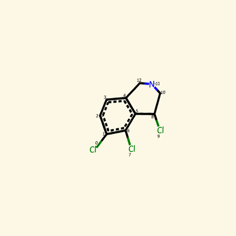 Clc1ccc2c(c1Cl)C(Cl)C[N]C2